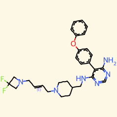 Nc1ncnc(NCC2CCN(C/C=C/CN3CC(F)(F)C3)CC2)c1-c1ccc(Oc2ccccc2)cc1